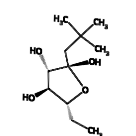 CC[C@H]1O[C@@](O)(CC(C)(C)C)[C@@H](O)[C@@H]1O